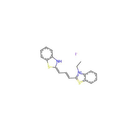 CC[n+]1c(C=CC=C2Nc3ccccc3S2)sc2ccccc21.[I-]